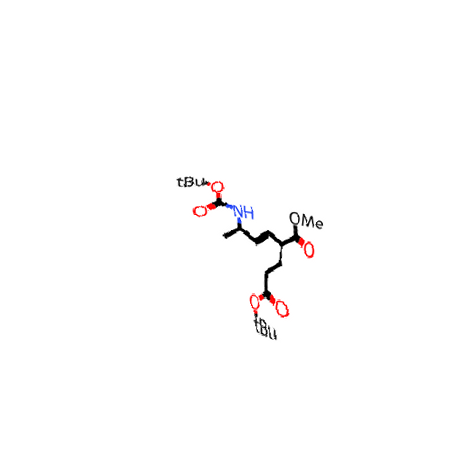 COC(=O)[C@H](C=CC(C)NC(=O)OC(C)(C)C)CCC(=O)OC(C)(C)C